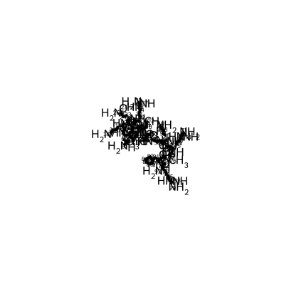 CC(C)[C@H](NC(=O)[C@H](CC(N)=O)NC(=O)[C@H](CCCCN)NC(=O)[C@H](CCC(N)=O)NC(=O)[C@H](CCCNC(=N)N)N1C(=O)[C@@H](NC(=O)[C@H](C)NC(=O)CNC(=O)[C@H](CCCCN)NC(=O)[C@H](CCCNC(=N)N)NC(=O)[C@H](C)NC(=O)[C@H](Cc2ccccc2)NC(=O)[C@@H](N)CCCNC(=N)N)CC1C)C(N)=O